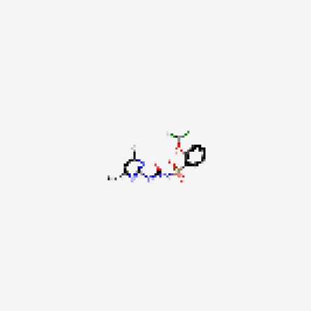 COc1cc(C)nc(N(C)C(=O)NS(=O)(=O)c2ccccc2OC(F)F)n1